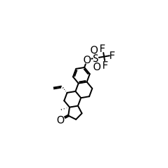 C=C[C@H]1C[C@]2(C)C(=O)CCC2C2CCc3cc(OS(=O)(=O)C(F)(F)F)ccc3C21